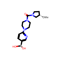 CO[C@H]1CCN(C(=O)N2CCN(c3ccc(B(O)O)cn3)CC2)C1